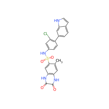 Cc1cc2[nH]c(=O)c(=O)[nH]c2cc1S(=O)(=O)Nc1ccc(-c2ccc3cc[nH]c3c2)c(Cl)c1